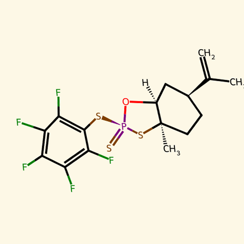 C=C(C)[C@H]1CC[C@@]2(C)S[P@@](=S)(Sc3c(F)c(F)c(F)c(F)c3F)O[C@H]2C1